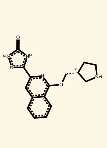 O=c1[nH]nc(-c2cc3ccccc3c(OC[C@@H]3CCNC3)n2)[nH]1